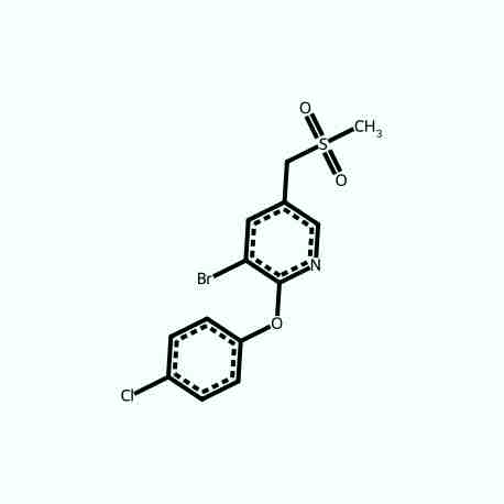 CS(=O)(=O)Cc1cnc(Oc2ccc(Cl)cc2)c(Br)c1